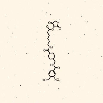 O=C(CCCCCNC(=O)C1CCC(CNC(=O)c2ccc(CO)c([N+](=O)[O-])c2)CC1)ON1C(=O)CCC1=O